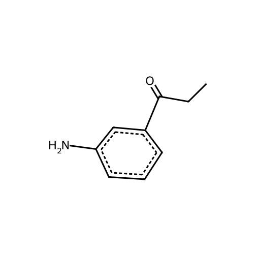 CCC(=O)c1cccc(N)c1